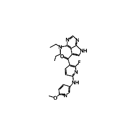 CCCN(CC)c1ncnc2[nH]cc(C(=O)c3ccc(Nc4ccc(OC)nc4)nc3F)c12